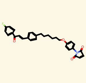 O=C(C=Cc1ccc(CCCCCCOc2ccc(N3C(=O)C=CC3=O)cc2)cc1)c1ccc(F)cc1